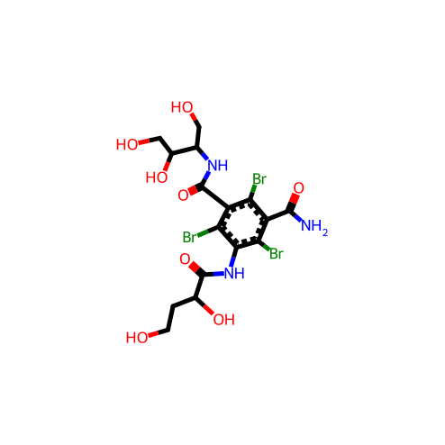 NC(=O)c1c(Br)c(NC(=O)C(O)CCO)c(Br)c(C(=O)NC(CO)C(O)CO)c1Br